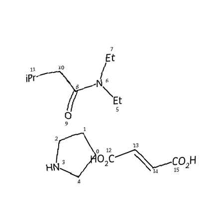 C1CCNC1.CCN(CC)C(=O)CC(C)C.O=C(O)/C=C/C(=O)O